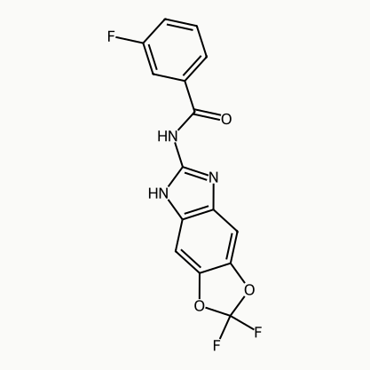 O=C(Nc1nc2cc3c(cc2[nH]1)OC(F)(F)O3)c1cccc(F)c1